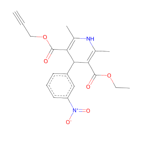 C#CCOC(=O)C1=C(C)NC(C)=C(C(=O)OCC)C1c1cccc([N+](=O)[O-])c1